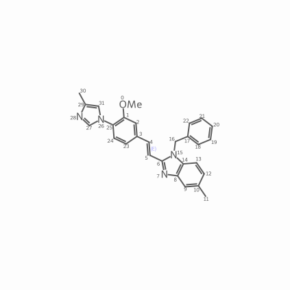 COc1cc(/C=C/c2nc3cc(C)ccc3n2Cc2ccccc2)ccc1-n1cnc(C)c1